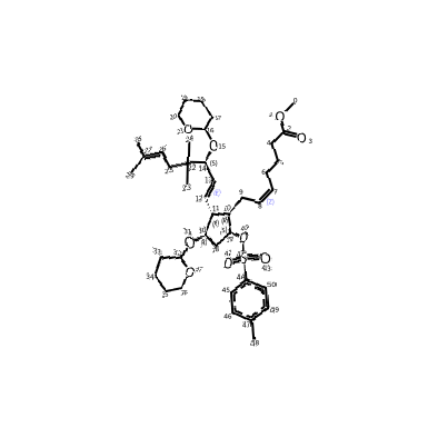 COC(=O)CCC/C=C\C[C@@H]1[C@@H](/C=C/[C@H](OC2CCCCO2)C(C)(C)CC=C(C)C)[C@H](OC2CCCCO2)C[C@@H]1OS(=O)(=O)c1ccc(C)cc1